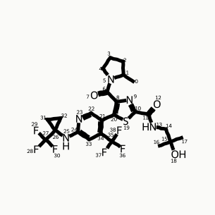 CC1CCCN1C(=O)c1nc(C(=O)NCC(C)(C)O)sc1-c1cnc(NC2(C(F)(F)F)CC2)cc1C(F)(F)F